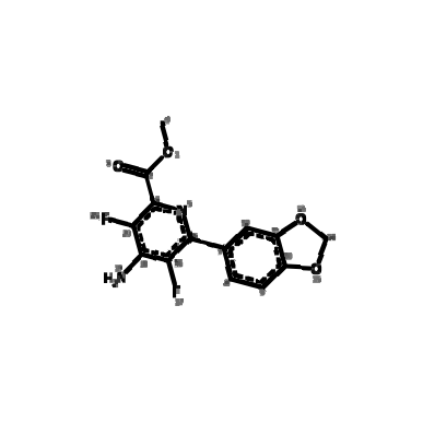 COC(=O)c1nc(-c2ccc3c(c2)OCO3)c(F)c(N)c1F